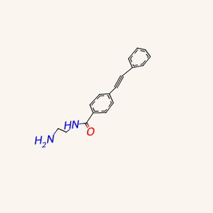 NCCNC(=O)c1ccc(C#Cc2ccccc2)cc1